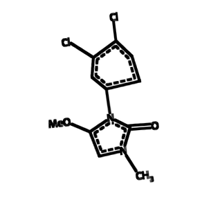 COc1cn(C)c(=O)n1-c1ccc(Cl)c(Cl)c1